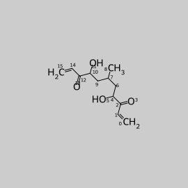 C=CC(=O)C(O)CC(C)CC(O)C(=O)C=C